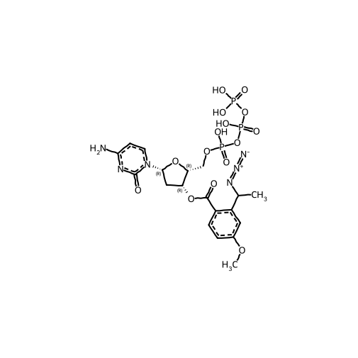 COc1ccc(C(=O)O[C@@H]2C[C@H](n3ccc(N)nc3=O)O[C@@H]2COP(=O)(O)OP(=O)(O)OP(=O)(O)O)c(C(C)N=[N+]=[N-])c1